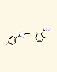 NC(=O)c1c(F)ccc(OCc2nc(-c3ccc(Cl)cc3)no2)c1F